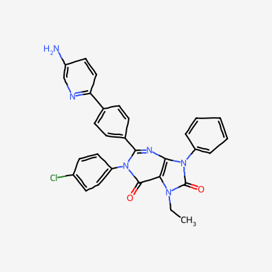 CCn1c(=O)n(-c2ccccc2)c2nc(-c3ccc(-c4ccc(N)cn4)cc3)n(-c3ccc(Cl)cc3)c(=O)c21